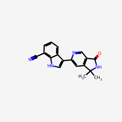 CC1(C)NC(=O)c2cnc(-c3c[nH]c4c(C#N)cccc34)cc21